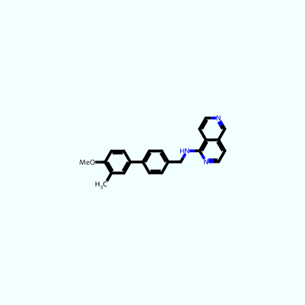 COc1ccc(-c2ccc(CNc3nccc4cnccc34)cc2)cc1C